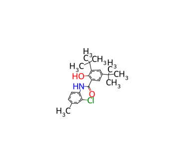 Cc1ccc(NC(=O)c2cc(C(C)(C)C)cc(C(C)(C)C)c2O)c(Cl)c1